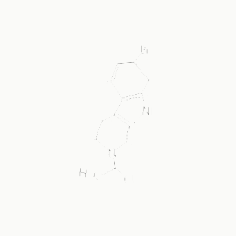 CC(C)N1CCc2c([nH]c3cc(Br)ccc23)C1